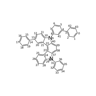 c1ccc(-c2cccc(-n3c4ccc(-c5ccccc5)cc4c4c5c6ccccc6n(-c6ccccc6)c5ccc43)c2)cc1